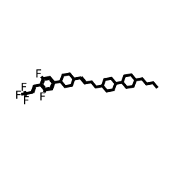 CCCCC1CCC(C2CCC(CC/C=C/C3CCC(c4cc(F)c(/C=C/C(F)(F)F)c(F)c4)CC3)CC2)CC1